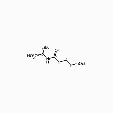 CCCCCCCCCCCC(=O)N[C@@H](C(=O)O)[C@H](C)CC